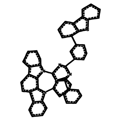 c1ccc(-c2nc(-c3cccc(-c4cccc5c4sc4ccccc45)c3)nc(-n3c4ccccc4c4ccc5c6ccccc6n(-c6ccccc6)c5c43)n2)cc1